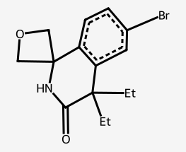 CCC1(CC)C(=O)NC2(COC2)c2ccc(Br)cc21